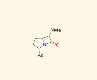 CNC1C(=O)N2C(C(C)=O)CCC12